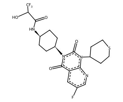 O=C(N[C@H]1CC[C@@H](n2c(=O)c3cc(F)cnc3n(C3CCSCC3)c2=O)CC1)C(O)C(F)(F)F